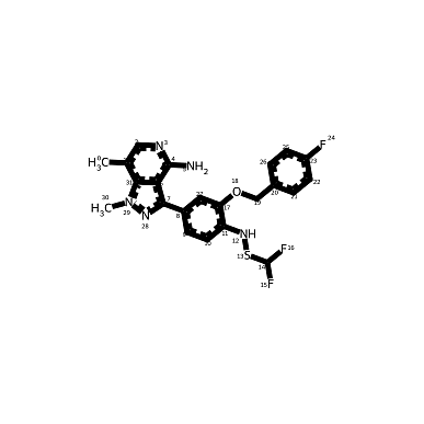 Cc1cnc(N)c2c(-c3ccc(NSC(F)F)c(OCc4ccc(F)cc4)c3)nn(C)c12